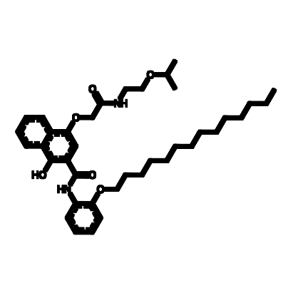 CCCCCCCCCCCCCCOc1ccccc1NC(=O)c1cc(OCC(=O)NCCOC(C)C)c2ccccc2c1O